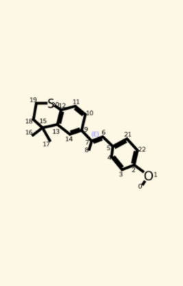 COc1ccc(/C=C(\C)c2ccc3c(c2)C(C)(C)CCS3)cc1